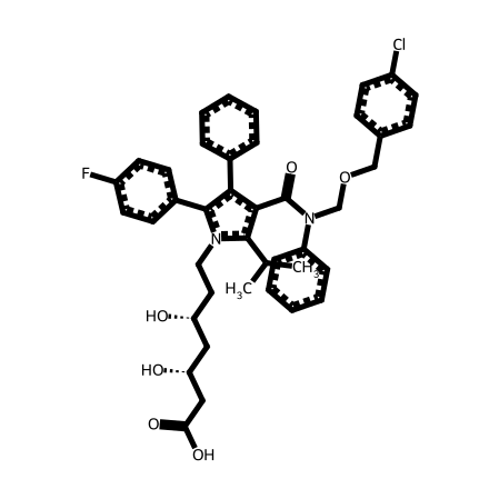 CC(C)c1c(C(=O)N(COCc2ccc(Cl)cc2)c2ccccc2)c(-c2ccccc2)c(-c2ccc(F)cc2)n1CC[C@@H](O)C[C@@H](O)CC(=O)O